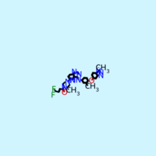 Cc1cc(Nc2ncnc3ccc(N4CCN(C(=O)/C=C/C(F)F)[C@H](C)C4)nc23)ccc1Oc1ccc2c(c1)nnn2C